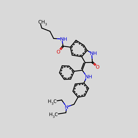 CCCCNC(=O)c1ccc2c(c1)/C(=C(/Nc1ccc(CN(CC)CC)cc1)c1ccccc1)C(=O)N2